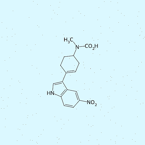 CN(C(=O)O)C1CC=C(c2c[nH]c3ccc([N+](=O)[O-])cc23)CC1